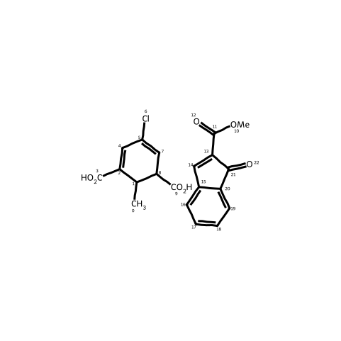 CC1C(C(=O)O)=CC(Cl)=CC1C(=O)O.COC(=O)C1=Cc2ccccc2C1=O